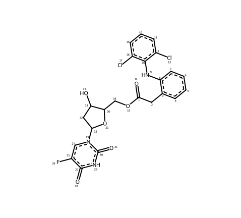 O=C(Cc1ccccc1Nc1c(Cl)cccc1Cl)OCC1OC(n2cc(F)c(=O)[nH]c2=O)CC1O